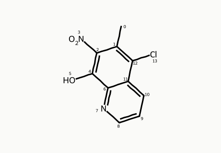 Cc1c([N+](=O)[O-])c(O)c2ncccc2c1Cl